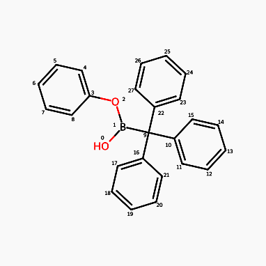 OB(Oc1ccccc1)C(c1ccccc1)(c1ccccc1)c1ccccc1